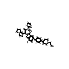 O=C(Nc1nccs1)C(c1ncn2c1CCC2)N1Cc2c(F)cc(-c3ccc(C4CCN(CCF)CC4)cc3)cc2C1=O